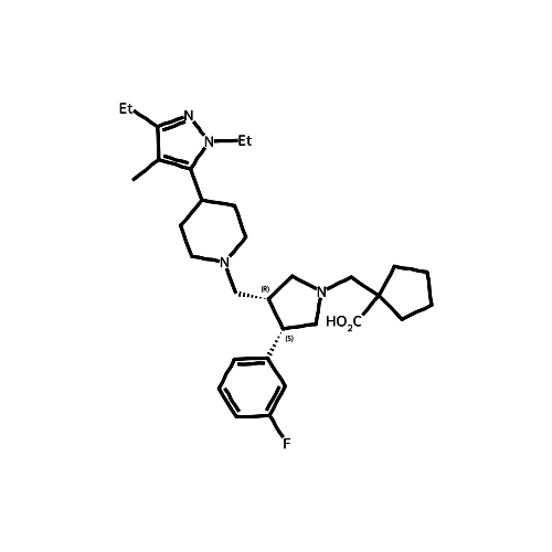 CCc1nn(CC)c(C2CCN(C[C@@H]3CN(CC4(C(=O)O)CCCC4)C[C@@H]3c3cccc(F)c3)CC2)c1C